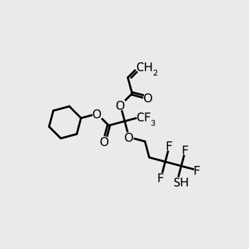 C=CC(=O)OC(OCCC(F)(F)C(F)(F)S)(C(=O)OC1CCCCC1)C(F)(F)F